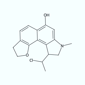 CC(Cl)C1CN(C)c2cc(O)c3ccc4c(c3c21)OCC4